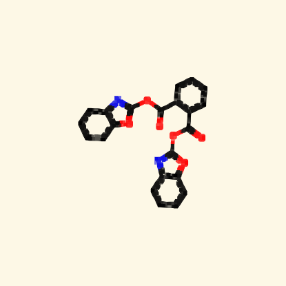 O=C(Oc1nc2ccccc2o1)c1ccccc1C(=O)Oc1nc2ccccc2o1